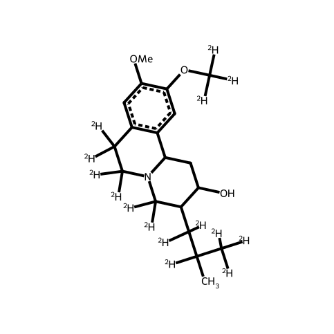 [2H]C([2H])([2H])Oc1cc2c(cc1OC)C([2H])([2H])C([2H])([2H])N1C2CC(O)C(C([2H])([2H])C([2H])(C)C([2H])([2H])[2H])C1([2H])[2H]